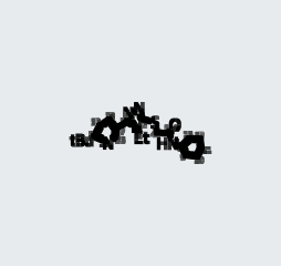 CCn1c(SCC(=O)Nc2ccccc2)nnc1-c1ccc(C(C)(C)C)nc1